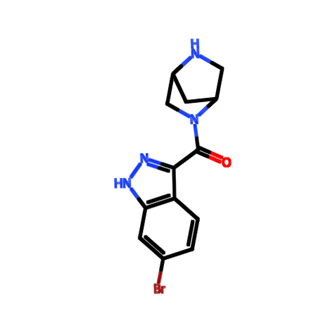 O=C(c1n[nH]c2cc(Br)ccc12)N1CC2CC1CN2